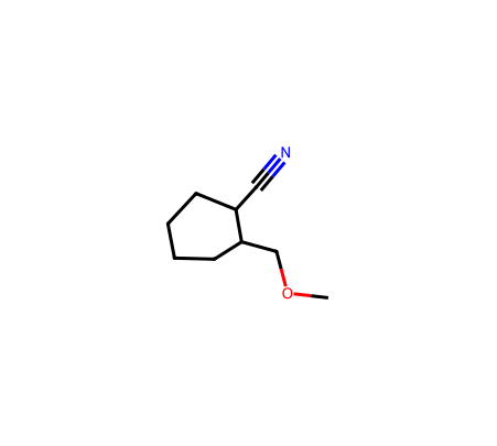 COCC1CCCCC1C#N